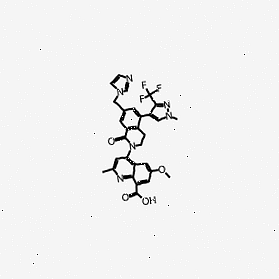 COc1cc(C(=O)O)c2nc(C)cc(N3CCc4c(cc(Cn5ccnc5)cc4-c4cn(C)nc4C(F)(F)F)C3=O)c2c1